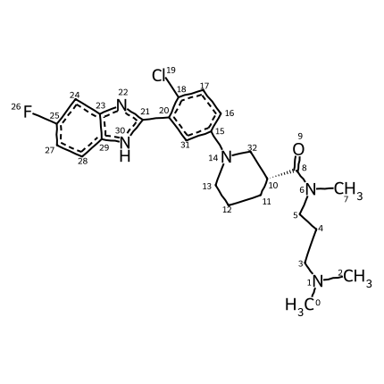 CN(C)CCCN(C)C(=O)[C@@H]1CCCN(c2ccc(Cl)c(-c3nc4cc(F)ccc4[nH]3)c2)C1